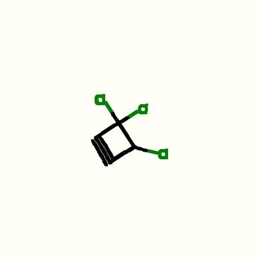 ClC1C#CC1(Cl)Cl